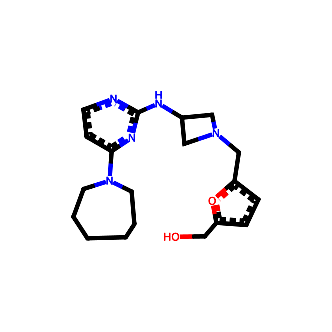 OCc1ccc(CN2CC(Nc3nccc(N4CCCCCC4)n3)C2)o1